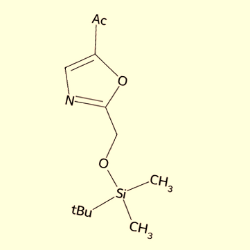 CC(=O)c1cnc(CO[Si](C)(C)C(C)(C)C)o1